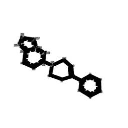 C1=C(c2ccccc2)CCN(c2ccc3nnnn3n2)C1